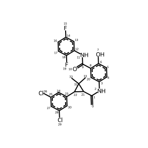 C=C(Nc1ccc(O)c(C(=O)Nc2cc(F)ccc2F)c1)C1C(c2cc(Cl)cc(Cl)c2)C1(C)C